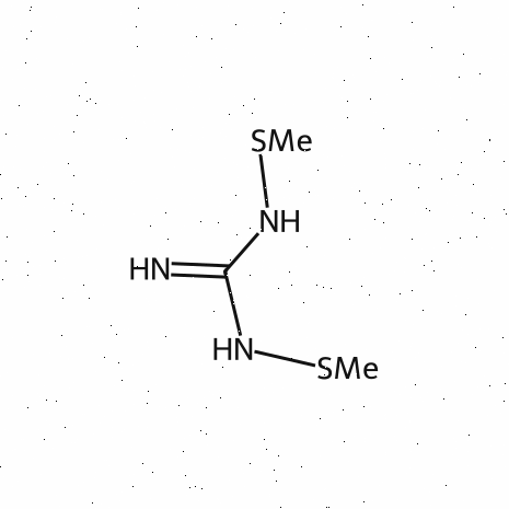 CSNC(=N)NSC